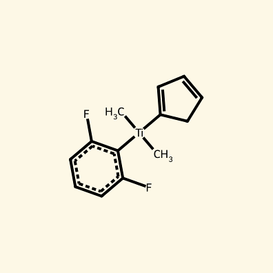 [CH3][Ti]([CH3])([C]1=CC=CC1)[c]1c(F)cccc1F